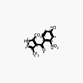 CCOC(=O)c1[nH]nc(C(F)(F)F)c1C(=O)c1ccc(Cl)cc1[N+](=O)[O-]